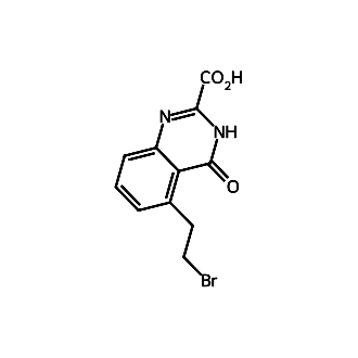 O=C(O)c1nc2cccc(CCBr)c2c(=O)[nH]1